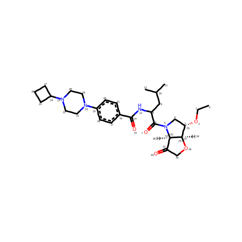 CCO[C@H]1CN(C(=O)C(CC(C)C)NC(=O)c2ccc(N3CCN(C4CCC4)CC3)cc2)[C@@H]2C(=O)CO[C@H]12